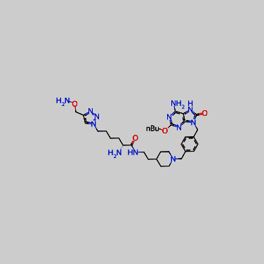 CCCCOc1nc(N)c2[nH]c(=O)n(Cc3ccc(CN4CCC(CCNC(=O)[C@H](N)CCCCn5cc(CON)nn5)CC4)cc3)c2n1